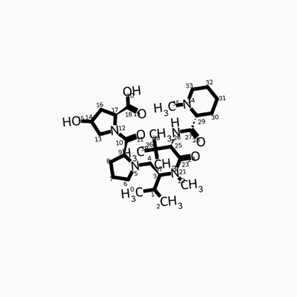 CC(C)[C@@H](CN1CCC[C@H]1C(=O)N1CC(O)C[C@H]1C(=O)O)N(C)C(=O)[C@@H](NC(=O)[C@H]1CCCCN1C)C(C)(C)C